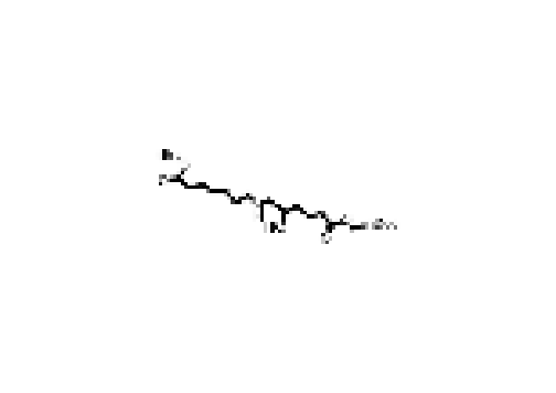 CCCCCCCCCCCOC(=O)CCCC(O)CNCCCCCCC(=O)OC(C)(C)C